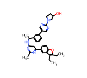 CCc1oc2ccc(-c3cc(N[C@@H](C)c4cccc(-c5cnc(N6CCC(O)C6)nc5)c4)nc(C)n3)cc2c1CC